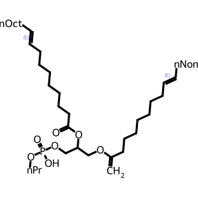 C=C(CCCCCCC/C=C/CCCCCCCCC)OCC(COP(=O)(O)OCCC)OC(=O)CCCCCCC/C=C/CCCCCCCC